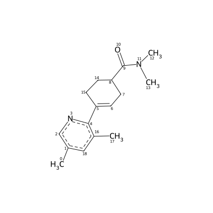 Cc1cnc(C2=CCC(C(=O)N(C)C)CC2)c(C)c1